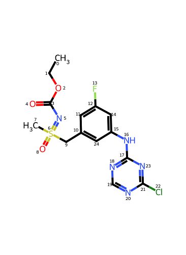 CCOC(=O)N=S(C)(=O)Cc1cc(F)cc(Nc2ncnc(Cl)n2)c1